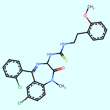 COc1ccccc1CCNC(=S)NC1N=C(c2ccccc2Cl)c2cc(Cl)ccc2N(C)C1=O